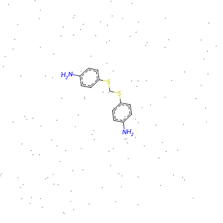 Nc1ccc(SCSc2ccc(N)cc2)cc1